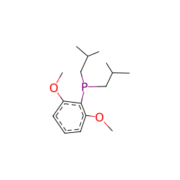 COc1cccc(OC)c1P(CC(C)C)CC(C)C